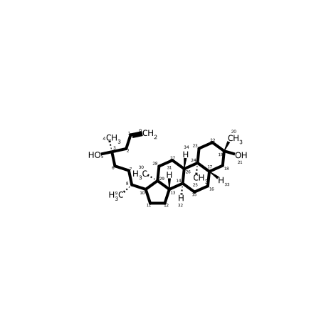 C=CC[C@](C)(O)CC[C@@H](C)C1CC[C@H]2[C@@H]3CC[C@H]4C[C@@](C)(O)CC[C@]4(C)[C@H]3CC[C@]12C